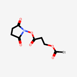 CCC(=O)OCCC(=O)ON1C(=O)CCC1=O